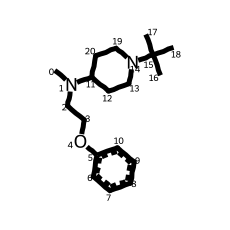 CN(CCOc1ccccc1)C1CCN(C(C)(C)C)CC1